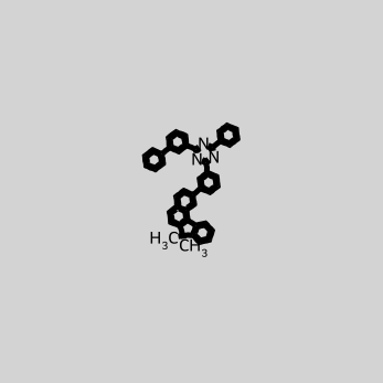 CC1(C)c2ccccc2-c2c1ccc1ccc(-c3cccc(-c4nc(-c5ccccc5)nc(-c5cccc(-c6ccccc6)c5)n4)c3)cc21